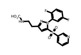 O=C(O)NCCc1cc(S(=O)(=O)c2cccnc2)n(-c2cc(F)ccc2F)n1